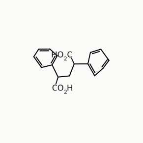 O=C(O)C(CC(C(=O)O)c1ccccc1)c1ccccc1